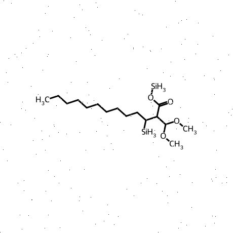 CCCCCCCCCCC([SiH3])C(C(=O)O[SiH3])C(OC)OC